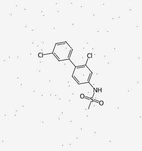 CS(=O)(=O)Nc1ccc(-c2cccc(Cl)c2)c(Cl)c1